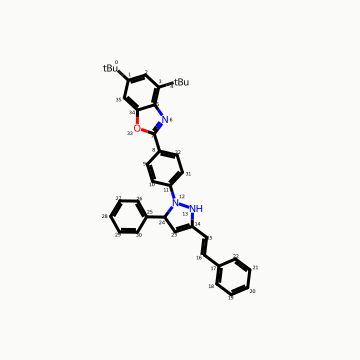 CC(C)(C)c1cc(C(C)(C)C)c2nc(-c3ccc(N4NC(C=Cc5ccccc5)=CC4c4ccccc4)cc3)oc2c1